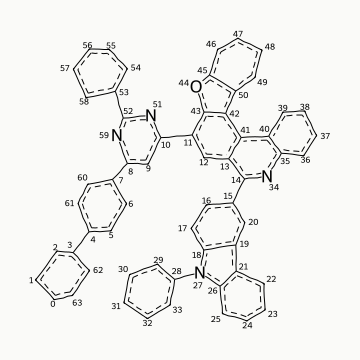 c1ccc(-c2ccc(-c3cc(-c4cc5c(-c6ccc7c(c6)c6ccccc6n7-c6ccccc6)nc6ccccc6c5c5c4oc4ccccc45)nc(-c4ccccc4)n3)cc2)cc1